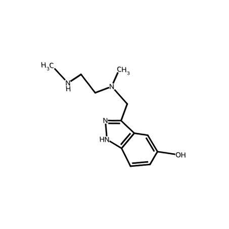 CNCCN(C)Cc1n[nH]c2ccc(O)cc12